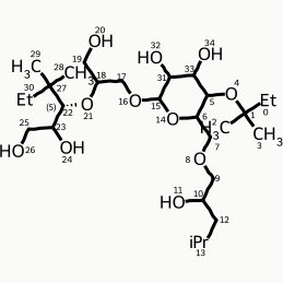 CCC(C)(C)OC1C(COCC(O)CC(C)C)OC(OCC(CO)O[C@H](C(O)CO)C(C)(C)CC)C(O)C1O